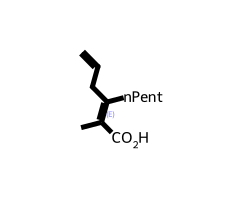 C=CC/C(CCCCC)=C(\C)C(=O)O